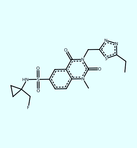 CCc1nnc(Cn2c(=O)c3cc(S(=O)(=O)NC4(CF)CC4)ccc3n(C)c2=O)s1